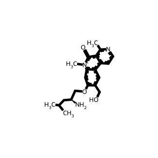 Cc1nccc2c1c(=O)n(C)c1cc(OC[C@@H](N)CC(C)C)c(CO)cc21